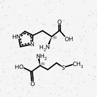 CSCC[C@H](N)C(=O)O.N[C@@H](Cc1c[nH]cn1)C(=O)O